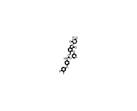 O=C1CCC(N2Cc3ccc(COC(=O)Nc4ccc(Oc5ccc(F)c(F)c5)cc4)c(Oc4cccnc4)c3C2=O)C(=O)N1